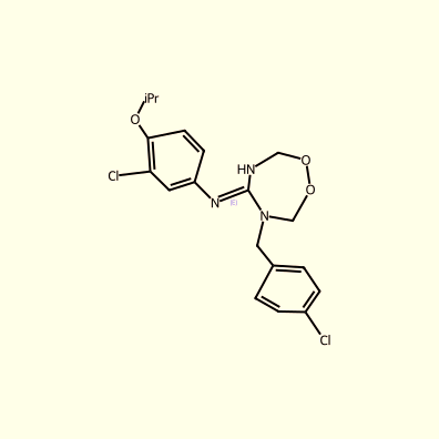 CC(C)Oc1ccc(/N=C2\NCOOCN2Cc2ccc(Cl)cc2)cc1Cl